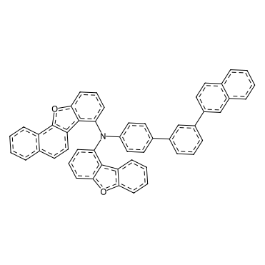 c1cc(-c2ccc(N(c3cccc4oc5ccccc5c34)c3cccc4oc5c6ccccc6ccc5c34)cc2)cc(-c2ccc3ccccc3c2)c1